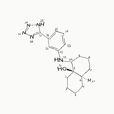 O[C@]12CCCC[C@@H]1CCCC2Nc1cccc(-c2nnn[nH]2)c1